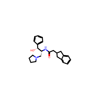 O=C(CC1Cc2ccccc2C1)N[C@H](CN1CCCC1)[C@H](O)c1ccccc1